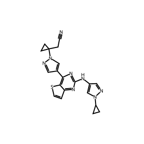 N#CCC1(n2cc(-c3nc(Nc4cnn(C5CC5)c4)nc4ccsc34)cn2)CC1